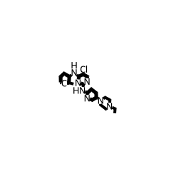 CCN1CCN(c2ccc(Nc3ncc(Cl)c(Nc4ccccc4C)n3)nc2)CC1